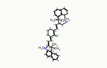 CC1CC=Cc2cccc(C(C)(C)C(/C=C/C3=C(Cl)C(=C/C=C4/N(C)c5ccc6ccccc6c5C4(C)C)/CCC3)CI)c21